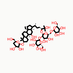 CC[C@@]12CCC([C@H](C)CC[C@@H](O[C@@H]3O[C@H](CO[C@H]4O[C@H](CO)[C@@H](O)[C@H](O)[C@H]4O)[C@@H](O)[C@H](O)[C@H]3O[C@@H]3O[C@H](CO)[C@@H](O)[C@H](O)[C@H]3O)C(C)(C)O)[C@@]1(C)C[C@@H](O)[C@@]1(C)C3CC[C@H](O[C@@H]4O[C@H](CO)C[C@H](O)[C@H]4O)C(C)(C)C3=CCC12